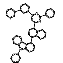 c1ccc(-c2nc(-c3cccc(-c4cccnc4)c3)cc(-c3ccc(-c4cccc5c4c4ccccc4n5-c4ccccc4)c4ccccc34)n2)cc1